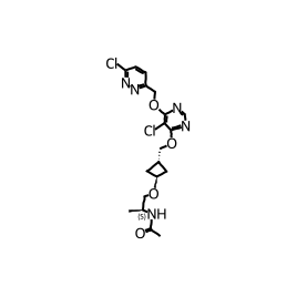 CC(=O)N[C@@H](C)CO[C@H]1C[C@H](COc2ncnc(OCc3ccc(Cl)nn3)c2Cl)C1